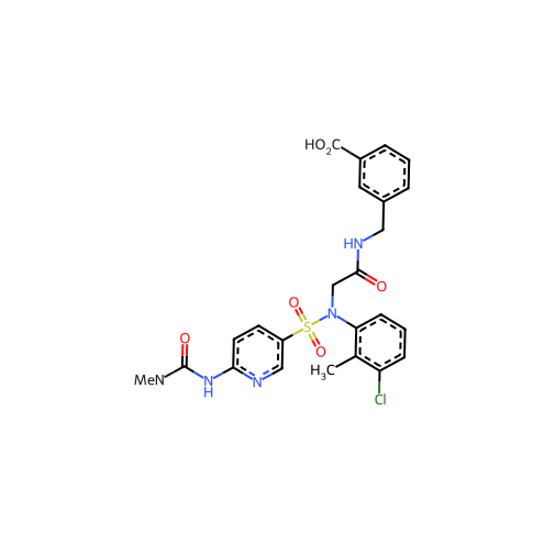 CNC(=O)Nc1ccc(S(=O)(=O)N(CC(=O)NCc2cccc(C(=O)O)c2)c2cccc(Cl)c2C)cn1